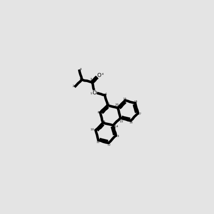 CC(C)C(=O)OCc1cc2ccccc2c2ccccc12